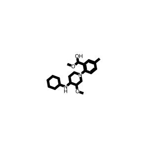 COC(O)c1cc(C)ccc1N1CCC(NC2CCCCC2)C(OC)C1